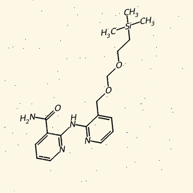 C[Si](C)(C)CCOCOCc1cccnc1Nc1ncccc1C(N)=O